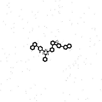 CC1C=C(c2cccc3ccccc23)C=CC1c1nc(-c2ccccc2)nc(-c2cccc(-c3cccc4oc5cc(-c6ccc7ccccc7c6)ccc5c34)c2)n1